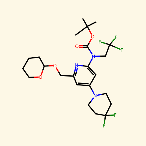 CC(C)(C)OC(=O)N(CC(F)(F)F)c1cc(N2CCC(F)(F)CC2)cc(COC2CCCCO2)n1